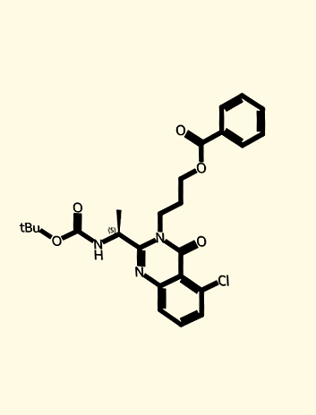 C[C@H](NC(=O)OC(C)(C)C)c1nc2cccc(Cl)c2c(=O)n1CCCOC(=O)c1ccccc1